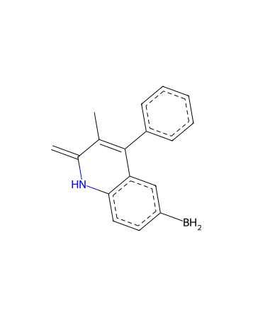 Bc1ccc2c(c1)C(c1ccccc1)=C(C)C(=C)N2